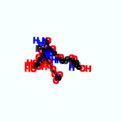 CC(C)[C@H](NC(=O)[C@@H](CCC(=O)NC[C@H](O)[C@@H](O)[C@H](O)[C@H](O)CO)NC(=O)CCOCCOCCOCCOCCN1C(=O)C=CC1=O)C(=O)N[C@@H](CCCNC(N)=O)C(=O)Nc1ccc(COC(=O)Nc2ccc3c(c2)[C@@]2(C)CCC[C@](C)(C(=O)NC(=O)[C@@]4(C)CCC[C@]5(C)c6cc(O)ccc6CC[C@@H]45)C2CC3)cc1